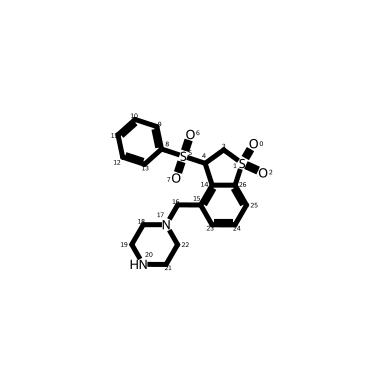 O=S1(=O)CC(S(=O)(=O)c2ccccc2)c2c(CN3CCNCC3)cccc21